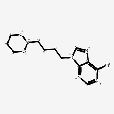 Clc1ncnc2c1ncn2CCCCB1OCCCO1